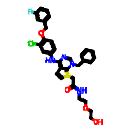 O=C(CS1=C2C(=C(Nc3ccc(OCc4cccc(F)c4)c(Cl)c3)N=CN2Cc2ccccc2)C=C1)NCCOCCO